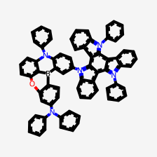 c1ccc(N(c2ccccc2)c2ccc3c(c2)Oc2cccc4c2B3c2cc(-n3c5ccccc5c5c6c(c7ccccc7n6-c6ccccc6)c6c(c7ccccc7n6-c6ccccc6)c53)ccc2N4c2ccccc2)cc1